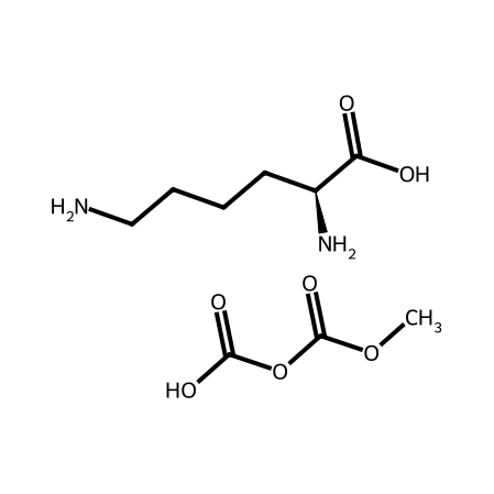 COC(=O)OC(=O)O.NCCCC[C@H](N)C(=O)O